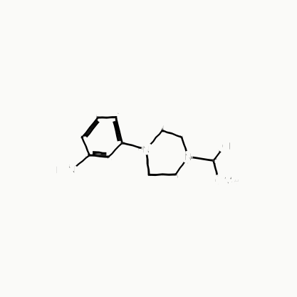 COC(C)N1CCN(c2cccc(N)c2)CC1